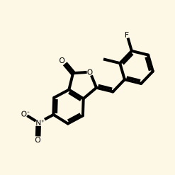 Cc1c(F)cccc1C=C1OC(=O)c2cc([N+](=O)[O-])ccc21